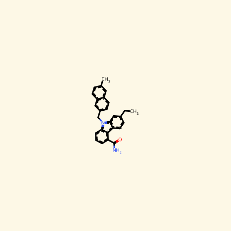 CCc1c[c]c2c3c(C(N)=O)cccc3n(Cc3ccc4cc(C)ccc4c3)c2c1